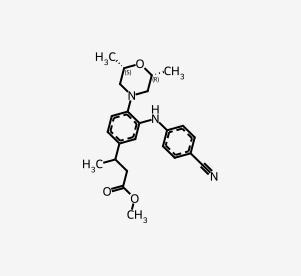 COC(=O)CC(C)c1ccc(N2C[C@@H](C)O[C@@H](C)C2)c(Nc2ccc(C#N)cc2)c1